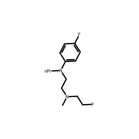 CCCN(CCN(C)CCF)c1ccc(F)cc1